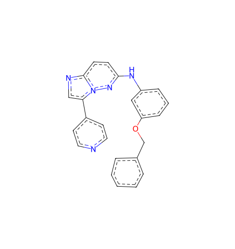 c1ccc(COc2cccc(Nc3ccc4ncc(-c5ccncc5)n4n3)c2)cc1